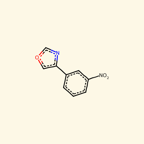 O=[N+]([O-])c1cccc(-c2cocn2)c1